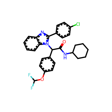 O=C(NC1CCCCC1)C(c1ccc(OC(F)F)cc1)n1c(-c2ccc(Cl)cc2)nc2ccccc21